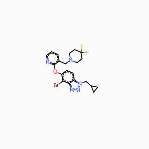 FC1(F)CCN(Cc2cccnc2Oc2ccc3c(nnn3CC3CC3)c2Br)CC1